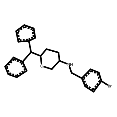 Brc1ccc(CNC2CCC(C(c3ccccc3)c3ccccc3)OC2)cc1